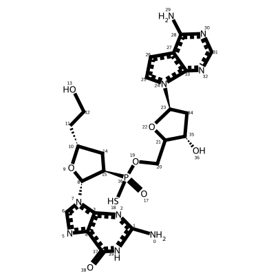 Nc1nc2c(ncn2[C@@H]2O[C@H](CCO)C[C@H]2P(=O)(S)OCC2O[C@@H](n3ccc4c(N)ncnc43)C[C@@H]2O)c(=O)[nH]1